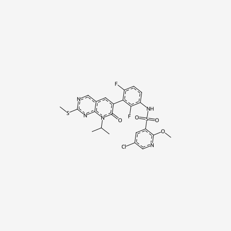 COc1ncc(Cl)cc1S(=O)(=O)Nc1ccc(F)c(-c2cc3cnc(SC)nc3n(C(C)C)c2=O)c1F